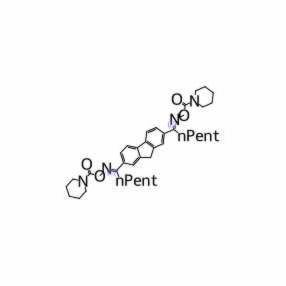 CCCCC/C(=N\OC(=O)N1CCCCC1)c1ccc2c(c1)Cc1cc(/C(CCCCC)=N/OC(=O)N3CCCCC3)ccc1-2